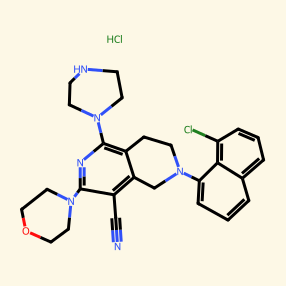 Cl.N#Cc1c(N2CCOCC2)nc(N2CCNCC2)c2c1CN(c1cccc3cccc(Cl)c13)CC2